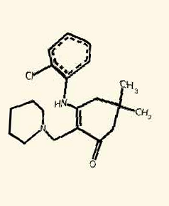 CC1(C)CC(=O)C(CN2CCCCC2)=C(Nc2ccccc2Cl)C1